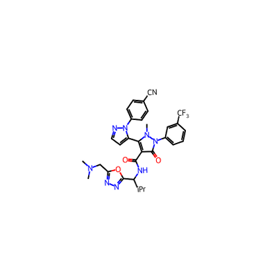 CC(C)C(NC(=O)c1c(-c2ccnn2-c2ccc(C#N)cc2)n(C)n(-c2cccc(C(F)(F)F)c2)c1=O)c1nnc(CN(C)C)o1